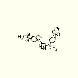 CC(C)OC(=O)N1CCC(N(c2cc(N3CCc4cc(S(C)(=O)=O)ccc43)ncn2)C(F)(F)F)CC1